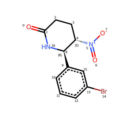 O=C1CC[C@H]([N+](=O)[O-])[C@@H](c2cccc(Br)c2)N1